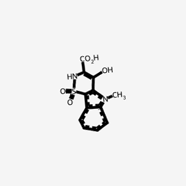 Cn1c2c(c3ccccc31)S(=O)(=O)NC(C(=O)O)=C2O